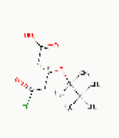 CC(C)(C)[Si](C)(C)O[C@@H](CC(=O)O)CC(=O)Cl